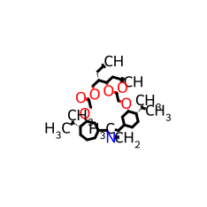 C#CCC(OC(=O)CO[C@H]1CC(CC)CC[C@H]1C(C)C)[C@@H](CC#C)COC(=O)CO[C@H]1CC(CN=C)CCC[C@@H]1C(C)C